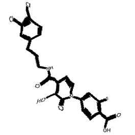 O=C(O)c1ccc(-n2ccc(C(=O)NCCCc3ccc(Cl)c(Cl)c3)c(O)c2=O)cc1F